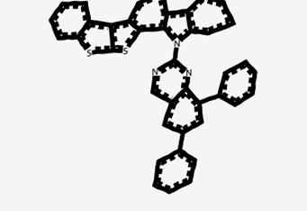 c1ccc(-c2cc(-c3ccccc3)c3nc(-n4c5ccccc5c5ccc6c(sc7sc8ccccc8c76)c54)ncc3c2)cc1